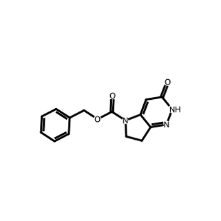 O=C(OCc1ccccc1)N1CCc2n[nH]c(=O)cc21